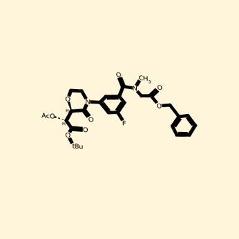 CC(=O)O[C@@H](C(=O)OC(C)(C)C)[C@H]1OCCN(c2cc(F)cc(C(=O)N(C)CC(=O)OCc3ccccc3)c2)C1=O